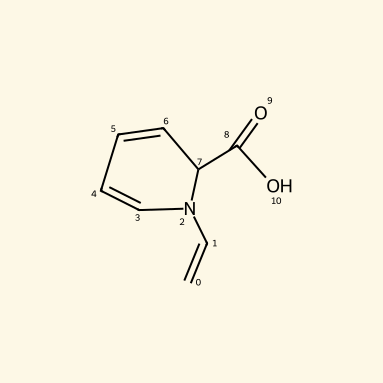 C=CN1C=CC=CC1C(=O)O